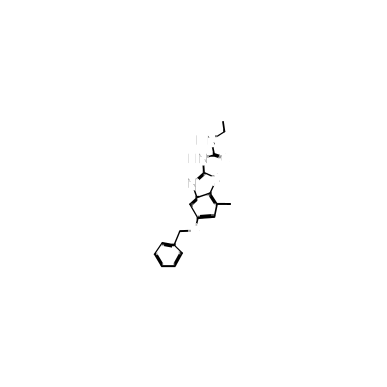 CCNC(=O)Nc1nc2cc(OCc3ccccc3)cc(C)c2s1